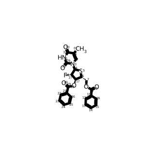 Cc1cn(C2S[C@H](COC(=O)c3ccccc3)[C@@H](OC(=O)c3ccccc3)[C@@H]2F)c(=O)[nH]c1=O